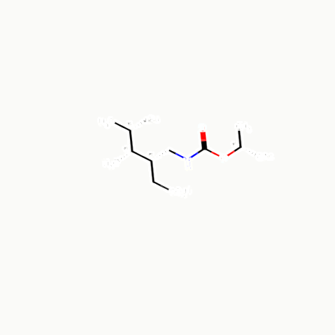 CCCC[C@@H](C)[C@@H](C)[C@H](CNC(=O)O[C@H](C)OC(C)=O)CC(=O)O